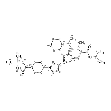 Cc1c(C(=O)OC(C)C)cc2cc(-c3cnn(C4CCN(C(=O)OC(C)(C)C)CC4)c3)cn2c1C(C)N1CCOCC1